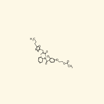 CCCc1nnc(CN2Cc3ccccc3N(C(=O)c3ccc(OCCOC(C)=O)cc3Cl)CC2=O)o1